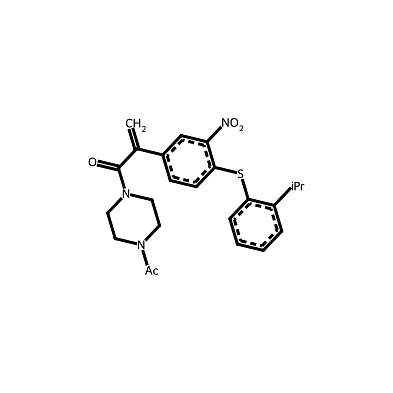 C=C(C(=O)N1CCN(C(C)=O)CC1)c1ccc(Sc2ccccc2C(C)C)c([N+](=O)[O-])c1